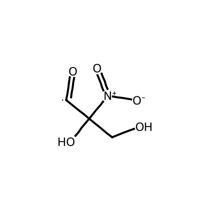 O=[C]C(O)(CO)[N+](=O)[O-]